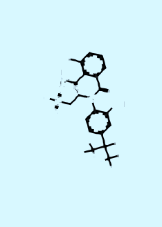 Cc1cc(C(F)(C(F)(F)F)C(F)(F)F)ccc1N(C(=O)c1cccc(Cl)c1C(N)=O)[C@H](C)CS(C)(=O)=O